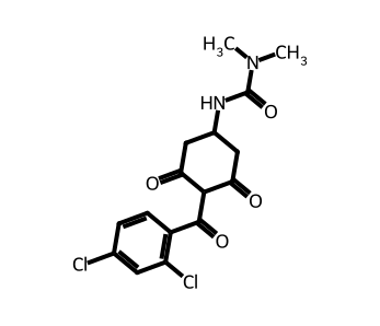 CN(C)C(=O)NC1CC(=O)C(C(=O)c2ccc(Cl)cc2Cl)C(=O)C1